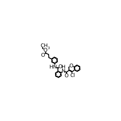 CCOC(=O)CCc1cccc(NC(=O)c2ccccc2NC(=O)C2=C(Cl)c3ccccc3OC2)c1